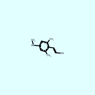 CNc1cc(C)c(/C=C/O)c(C)c1